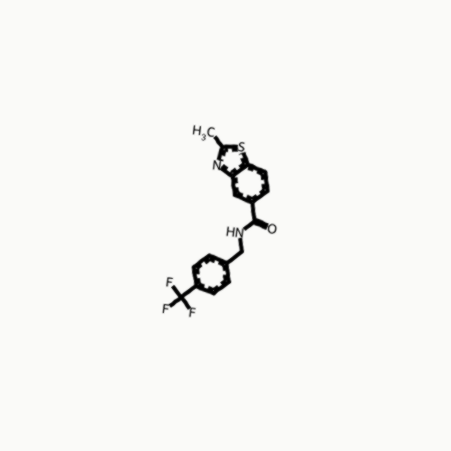 Cc1nc2cc(C(=O)NCc3ccc(C(F)(F)F)cc3)ccc2s1